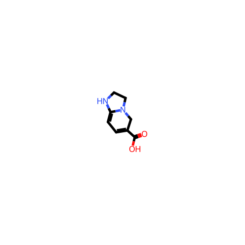 O=C(O)C1=CC=C2NCCN2C1